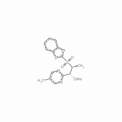 CO[C@H](c1ncc(C)cn1)[C@H](C)S(=O)(=O)c1nc2ccccc2s1